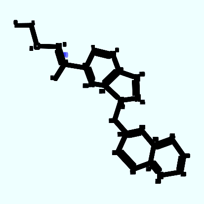 CCO/N=C(\C)c1cnc2nnn(Cc3ccc4ncccc4c3)c2n1